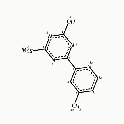 CSc1nc(O)nc(-c2cc(C)ccn2)n1